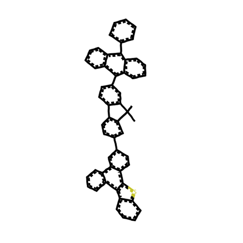 CC1(C)c2cc(-c3ccc4c(c3)c3ccccc3c3c5ccccc5sc43)ccc2-c2ccc(-c3c4ccccc4c(-c4ccccc4)c4ccccc34)cc21